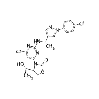 C[C@H](Nc1nc(Cl)cc(N2C(=O)OCC2[C@@H](C)O)n1)c1cnn(-c2ccc(Cl)cc2)c1